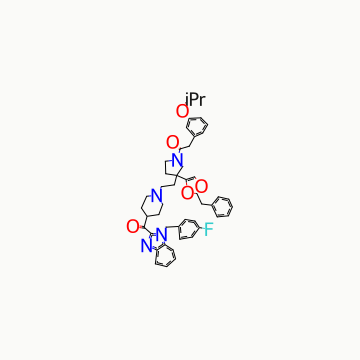 CC(C)Oc1cccc(CC(=O)N2CCC(CCN3CCC(C(=O)c4nc5ccccc5n4Cc4ccc(F)cc4)CC3)(C3=COC(Cc4ccccc4)O3)C2)c1